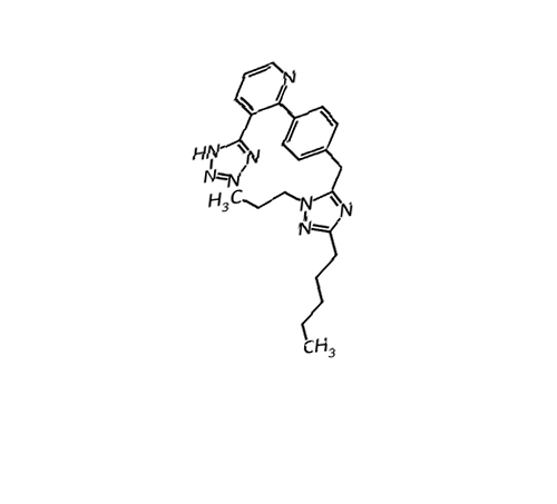 CCCCCc1nc(Cc2ccc(-c3ncccc3-c3nnn[nH]3)cc2)n(CCC)n1